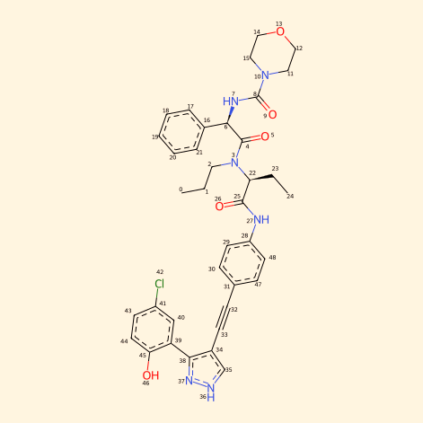 CCCN(C(=O)[C@H](NC(=O)N1CCOCC1)c1ccccc1)[C@@H](CC)C(=O)Nc1ccc(C#Cc2c[nH]nc2-c2cc(Cl)ccc2O)cc1